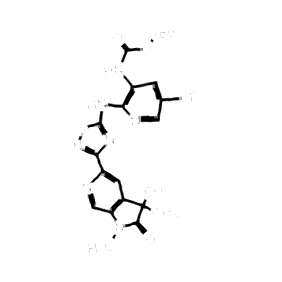 CN1C(=O)C(C)(C)c2cc(-c3nsc(Nc4ncc(C(F)(F)F)cc4NC(=O)OC(C)(C)C)n3)ncc21